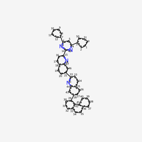 c1ccc(-c2cc(-c3ccccc3)nc(-c3ccc4ccc(-c5ccc6ccc(-c7cccc8ccc9ccccc9c78)cc6n5)cc4n3)n2)cc1